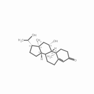 CC(O)[C@H]1CC[C@H]2C3CCC4=CC(=O)CC[C@]4(C)[C@H]3[C@@H](O)C[C@]12C